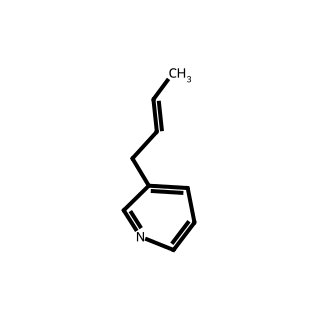 CC=CCc1cccnc1